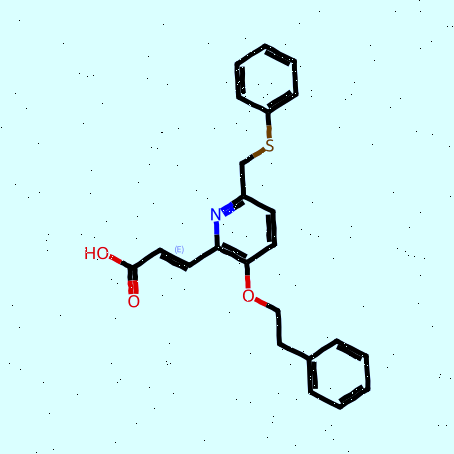 O=C(O)/C=C/c1nc(CSc2ccccc2)ccc1OCCc1ccccc1